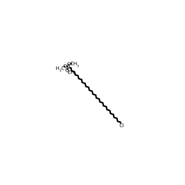 CO[Si](CCCCCCCCCCCCCCCCCCCCCCCCCCCCCCl)(OC)OC